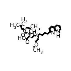 CCOCCN(CCCCc1ccc2c(n1)NCCC2)CC[C@H](NC(=O)N(CC(C)C)CC(C)C)C(=O)O